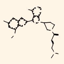 COc1cc(C)cc2cc(-c3nn(C4CCN(C(=O)/C=C/CN(C)C)C4)c4ncnc(N)c34)sc12